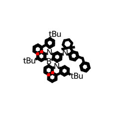 CC(C)(C)c1ccc2c(c1)B1c3ccccc3N(c3ccc(C(C)(C)C)cc3-c3ccccc3)c3cc(N4c5ccc(Cc6ccccc6)cc5C5(C)CCCCC45C)cc(c31)N2c1ccc(C(C)(C)C)cc1-c1ccccc1